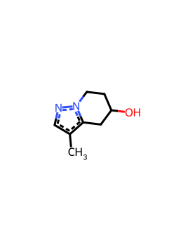 Cc1cnn2c1CC(O)CC2